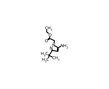 CCOC(=O)Cn1nc(C(C)(C)C)cc1N